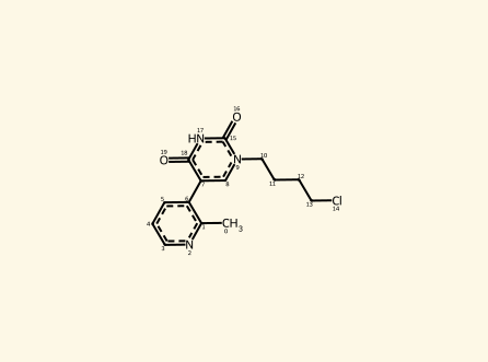 Cc1ncccc1-c1cn(CCCCCl)c(=O)[nH]c1=O